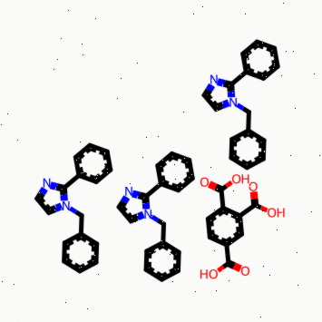 O=C(O)c1ccc(C(=O)O)c(C(=O)O)c1.c1ccc(Cn2ccnc2-c2ccccc2)cc1.c1ccc(Cn2ccnc2-c2ccccc2)cc1.c1ccc(Cn2ccnc2-c2ccccc2)cc1